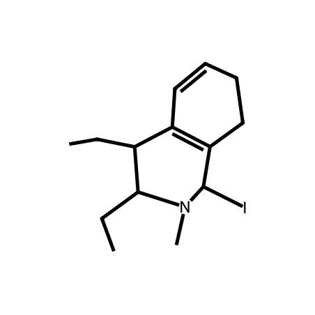 CCC1C2=C(CCC=C2)C(I)N(C)C1CC